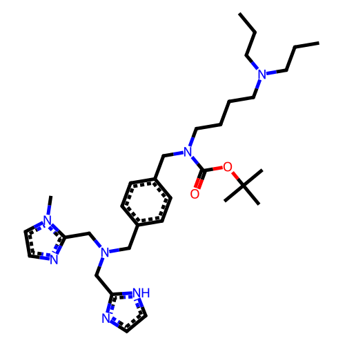 CCCN(CCC)CCCCN(Cc1ccc(CN(Cc2ncc[nH]2)Cc2nccn2C)cc1)C(=O)OC(C)(C)C